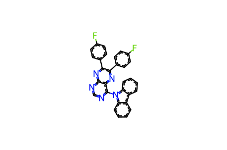 Fc1ccc(-c2nc3ncnc(-n4c5ccccc5c5ccccc54)c3nc2-c2ccc(F)cc2)cc1